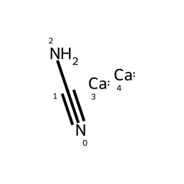 N#CN.[Ca].[Ca]